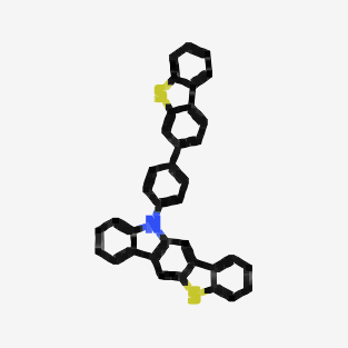 c1ccc2c(c1)sc1cc(-c3ccc(-n4c5ccccc5c5cc6sc7ccccc7c6cc54)cc3)ccc12